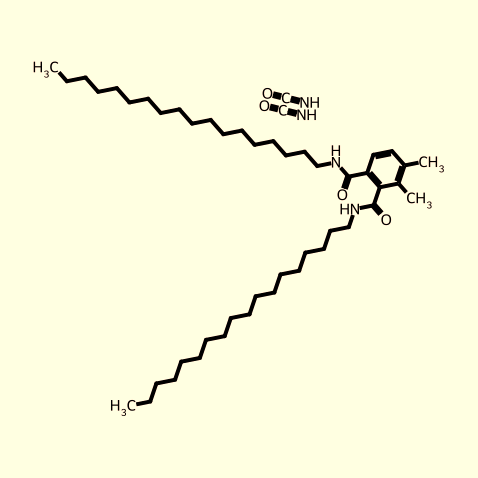 CCCCCCCCCCCCCCCCCCNC(=O)c1ccc(C)c(C)c1C(=O)NCCCCCCCCCCCCCCCCCC.N=C=O.N=C=O